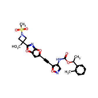 Cc1ccccc1C(C)OC(=O)Nc1cnoc1C#Cc1cc2oc(C3(C(=O)O)CN(S(C)(=O)=O)C3)nc2o1